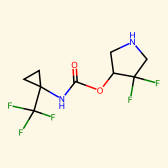 O=C(NC1(C(F)(F)F)CC1)OC1CNCC1(F)F